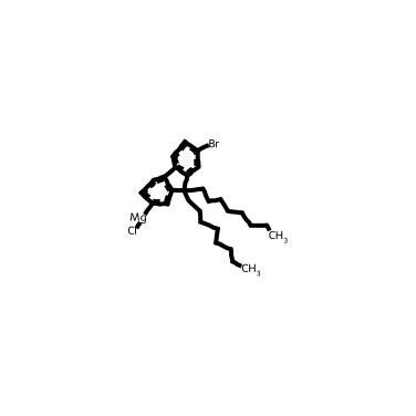 CCCCCCCCC1(CCCCCCCC)c2cc(Br)ccc2-c2cc[c]([Mg][Cl])cc21